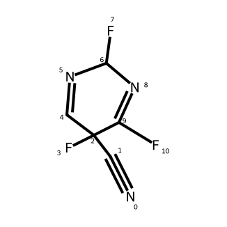 N#CC1(F)C=NC(F)N=C1F